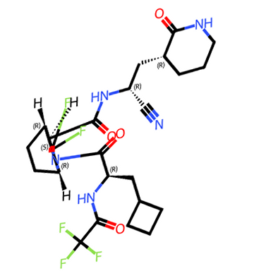 N#C[C@@H](C[C@H]1CCCNC1=O)NC(=O)[C@@H]1[C@H]2CC[C@H](CC2(F)F)N1C(=O)[C@@H](CC1CCC1)NC(=O)C(F)(F)F